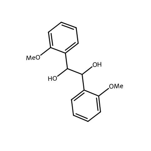 COc1ccccc1C(O)C(O)c1ccccc1OC